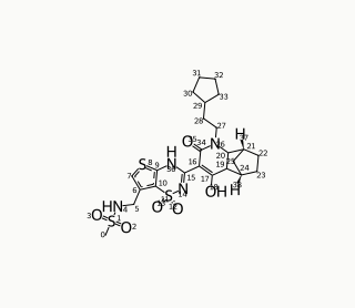 CS(=O)(=O)NCc1csc2c1S(=O)(=O)N=C(C1=C(O)C3C([C@@H]4CC[C@H]3C4)N(CCC3CCCC3)C1=O)N2